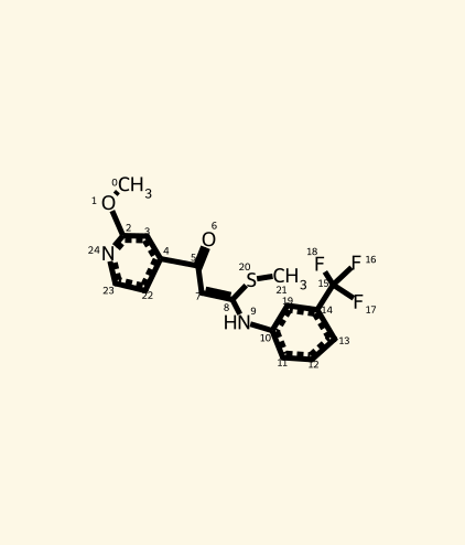 COc1cc(C(=O)/C=C(/Nc2cccc(C(F)(F)F)c2)SC)ccn1